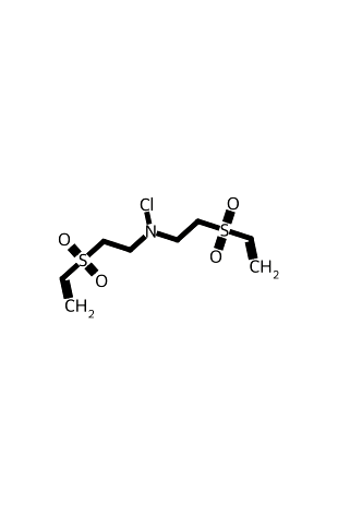 C=CS(=O)(=O)CCN(Cl)CCS(=O)(=O)C=C